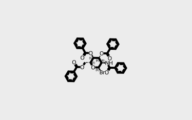 O=C(N[C@@H]1[C@@H](OC(=O)c2ccccc2)[C@H](OC(=O)c2ccccc2)[C@@H](COC(=O)c2ccccc2)O[C@@H]1Br)c1ccccc1